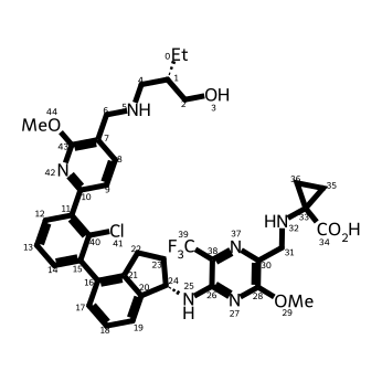 CC[C@H](CO)CNCc1ccc(-c2cccc(-c3cccc4c3CC[C@@H]4Nc3nc(OC)c(CNC4(C(=O)O)CC4)nc3C(F)(F)F)c2Cl)nc1OC